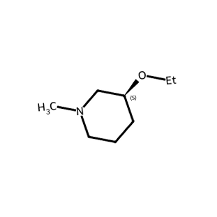 CCO[C@H]1CCCN(C)C1